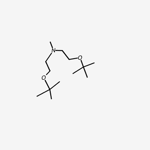 CN(CCOC(C)(C)C)CCOC(C)(C)C